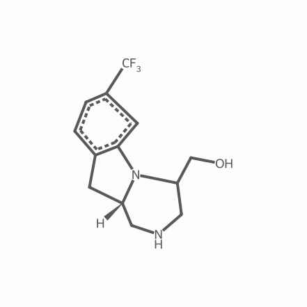 OCC1CNC[C@@H]2Cc3ccc(C(F)(F)F)cc3N12